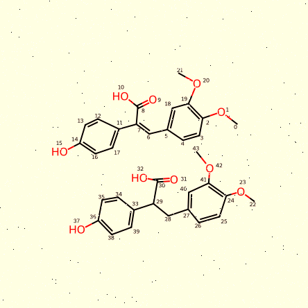 COc1ccc(C=C(C(=O)O)c2ccc(O)cc2)cc1OC.COc1ccc(CC(C(=O)O)c2ccc(O)cc2)cc1OC